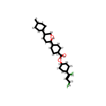 CC1CCC(C2CCC(C3CCC(C(=O)OC4CCC(/C(F)=C/CF)CC4)CC3)OC2)CC1